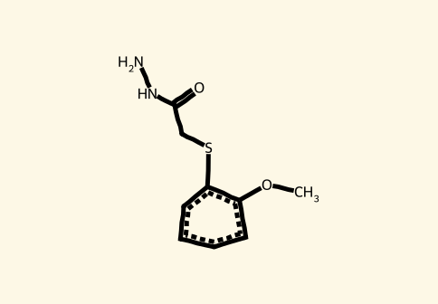 COc1ccccc1SCC(=O)NN